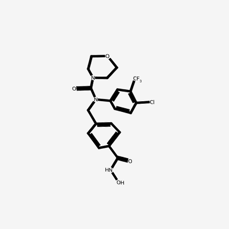 O=C(NO)c1ccc(CN(C(=O)N2CCOCC2)c2ccc(Cl)c(C(F)(F)F)c2)cc1